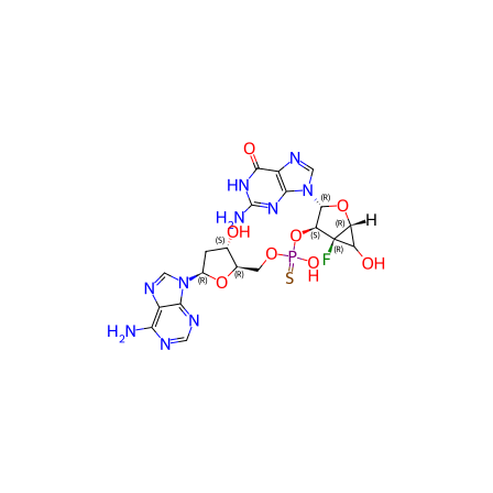 Nc1nc2c(ncn2[C@@H]2O[C@@H]3C(O)[C@]3(F)[C@H]2OP(O)(=S)OC[C@H]2O[C@@H](n3cnc4c(N)ncnc43)C[C@@H]2O)c(=O)[nH]1